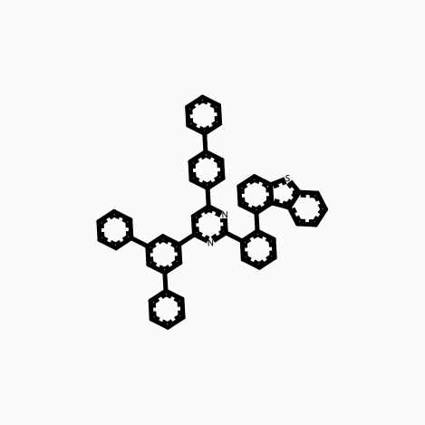 c1ccc(-c2ccc(-c3cc(-c4cc(-c5ccccc5)cc(-c5ccccc5)c4)nc(-c4ccccc4-c4cccc5sc6ccccc6c45)n3)cc2)cc1